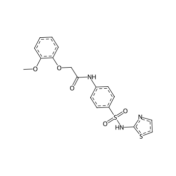 COc1ccccc1OCC(=O)Nc1ccc(S(=O)(=O)Nc2nccs2)cc1